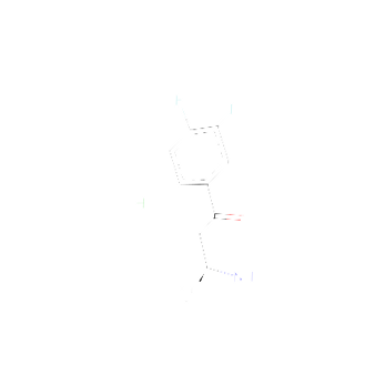 Cl.N[C@H](CC(=O)c1ccc(F)c(F)c1)C(=O)O